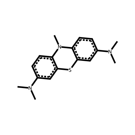 CN(C)c1ccc2c(c1)Sc1cc(N(C)C)ccc1N2C